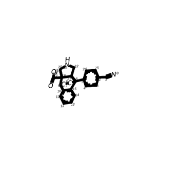 N#Cc1ccc(C23CCC(c4ccccc42)C2(C(=O)O)CNCC32)cc1